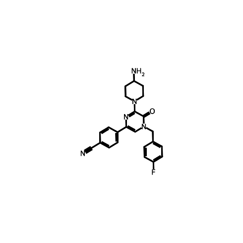 N#Cc1ccc(-c2cn(Cc3ccc(F)cc3)c(=O)c(N3CCC(N)CC3)n2)cc1